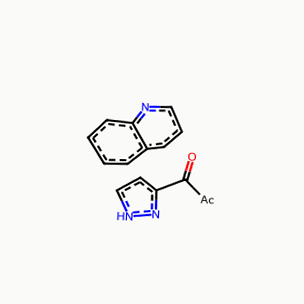 CC(=O)C(=O)c1cc[nH]n1.c1ccc2ncccc2c1